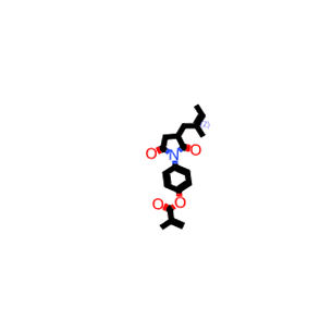 C=C(C)C(=O)Oc1ccc(N2C(=O)CC(C/C(C)=C\C)C2=O)cc1